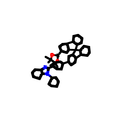 CC1(C)OB(c2ccc3c(c2)C2(c4ccccc4-3)c3ccccc3-c3ccc(-c4ccc(-c5nc6ccccc6n5-c5ccccc5)cc4)cc32)OC1(C)C